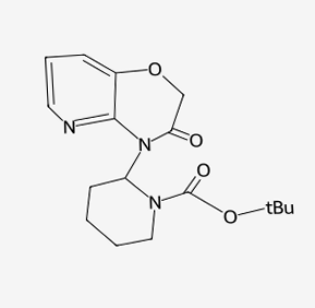 CC(C)(C)OC(=O)N1CCCCC1N1C(=O)COc2cccnc21